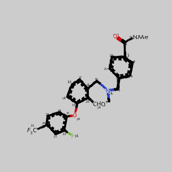 CNC(=O)c1ccc(CN(C)Cc2cccc(Oc3ccc(C(F)(F)F)cc3F)c2C=O)cc1